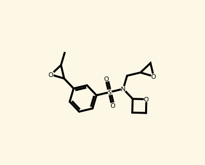 CC1OC1c1cccc(S(=O)(=O)N(CC2CO2)C2CCO2)c1